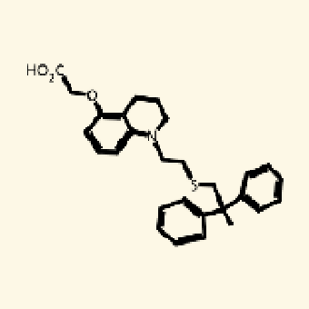 CC(CSCCN1CCCc2c(OCC(=O)O)cccc21)(c1ccccc1)c1ccccc1